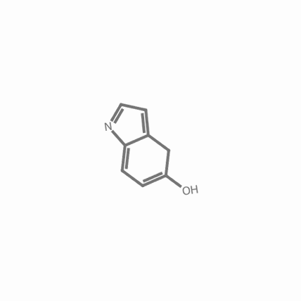 OC1=CC=C2N=CC=C2C1